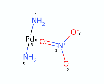 O=[N+]([O-])[O-].[NH2][Pd][NH2]